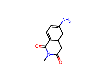 CN1C(=O)CC2CC(N)=CC=C2C1=O